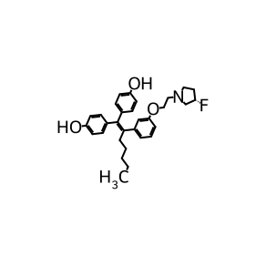 CCCCCC(=C(c1ccc(O)cc1)c1ccc(O)cc1)c1cccc(OCCN2CC[C@H](F)C2)c1